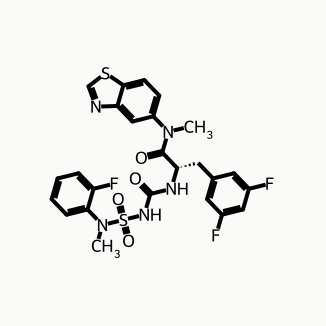 CN(C(=O)[C@H](Cc1cc(F)cc(F)c1)NC(=O)NS(=O)(=O)N(C)c1ccccc1F)c1ccc2scnc2c1